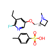 CCc1cc(OC[C@H]2CCN2C)cnc1F.Cc1ccc(S(=O)(=O)O)cc1